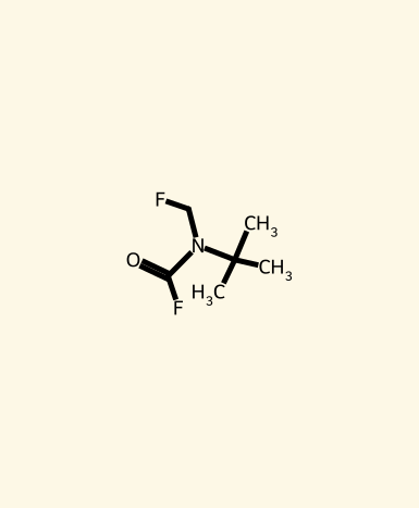 CC(C)(C)N(CF)C(=O)F